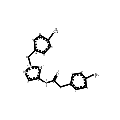 CCCCc1ccc(CC(=O)Nc2cnn(Cc3ccc(C#N)cc3)n2)cc1